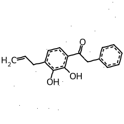 C=CCc1ccc(C(=O)Cc2ccccc2)c(O)c1O